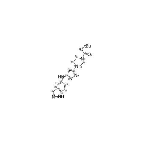 CC(C)(C)OC(=O)N1CCN(c2nnc(Nc3ccc4[nH]ncc4c3)s2)CC1